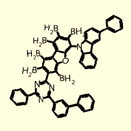 Bc1c(B)c(B)c2c(oc3c(B)c(-c4nc(-c5ccccc5)nc(-c5cccc(-c6ccccc6)c5)n4)c(B)c(B)c32)c1-n1c2ccccc2c2cc(-c3ccccc3)ccc21